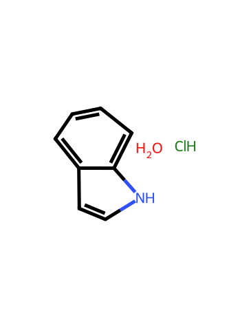 Cl.O.c1ccc2[nH]ccc2c1